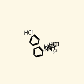 Cl.Cl.Cl.Cl.N.N.c1ccccc1.c1ccccc1